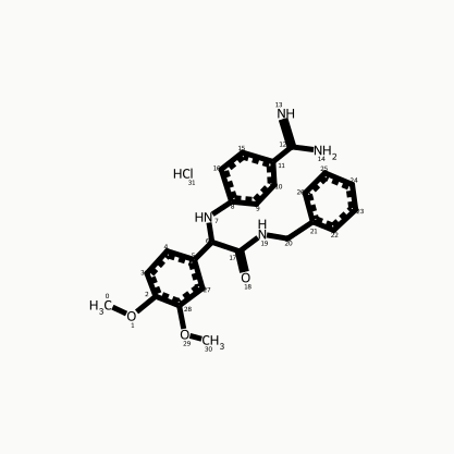 COc1ccc(C(Nc2ccc(C(=N)N)cc2)C(=O)NCc2ccccc2)cc1OC.Cl